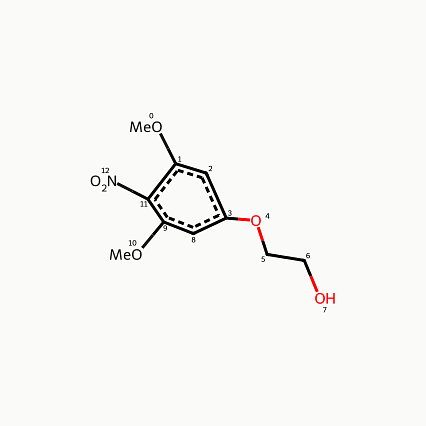 COc1cc(OCCO)cc(OC)c1[N+](=O)[O-]